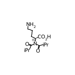 CC(C)C(=O)N(C(=O)C(C)C)[C@@H](CCCN)C(=O)O